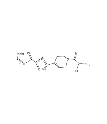 CN/C=N\C(=N)c1cnc(C2=CCN(C(=O)C(C)Cl)CC2)s1